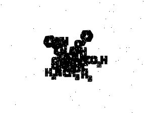 C[C@@H](O)[C@H](NC(=O)C(Cc1c[nH]c2ccccc12)NC(=O)[C@@H]1C[C@@H](OCc2ccccc2)CN1C(=O)[C@@H](NC(=O)O)[C@@H](C)O)C(N)=O